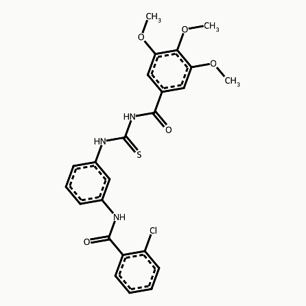 COc1cc(C(=O)NC(=S)Nc2cccc(NC(=O)c3ccccc3Cl)c2)cc(OC)c1OC